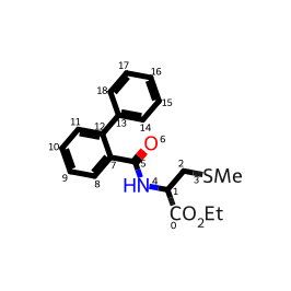 CCOC(=O)C(CSC)NC(=O)c1ccccc1-c1ccccc1